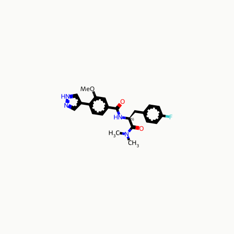 COc1cc(C(=O)N[C@@H](Cc2ccc(F)cc2)C(=O)N(C)C)ccc1-c1cn[nH]c1